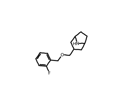 Fc1ccccc1COCC1CC2CCC(C1)N2